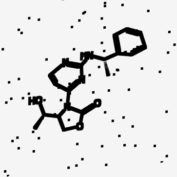 C[C@H](Nc1nccc(N2C(=O)OCC2[C@@H](C)O)n1)c1ccccc1